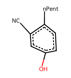 CCCCCc1ccc(O)cc1C#N